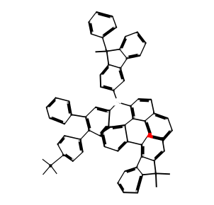 CC(C)(C)c1ccc(-c2ccc(N(c3ccc4c(c3)-c3ccccc3C4(C)c3ccccc3)c3ccc4ccccc4c3-c3ccccc3-c3cccc4c3-c3ccccc3C4(C)C)cc2-c2ccccc2)cc1